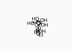 CCOP(=O)(O)OO[C@H]1O[C@H](CO)[C@@H](O)[C@H](O)[C@H]1O